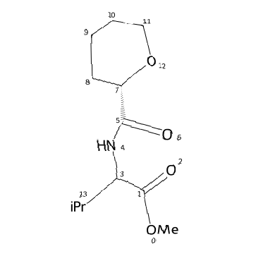 COC(=O)C(NC(=O)[C@@H]1CCCCO1)C(C)C